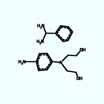 NC(N)c1ccccc1.Nc1ccc(N(CCO)CCO)cc1